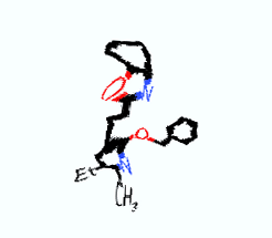 CCc1cc(C=Cc2nc3ccccc3o2)c(OCc2ccccc2)nc1C